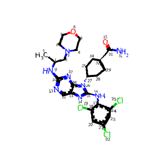 CC(CN1CCOCC1)Nc1ncc2nc(Nc3c(Cl)cc(Cl)cc3Cl)n([C@H]3CC[C@H](C(N)=O)CC3)c2n1